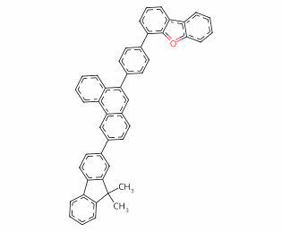 CC1(C)c2ccccc2-c2ccc(-c3ccc4cc(-c5ccc(-c6cccc7c6oc6ccccc67)cc5)c5ccccc5c4c3)cc21